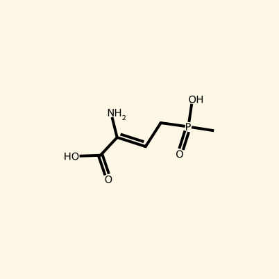 CP(=O)(O)C/C=C(\N)C(=O)O